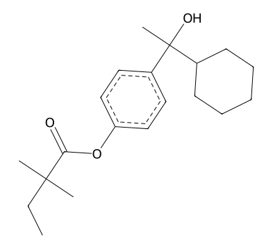 CCC(C)(C)C(=O)Oc1ccc(C(C)(O)C2CCCCC2)cc1